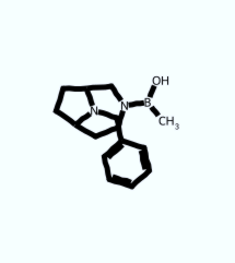 CB(O)N1CCC2CCC(C1)N2Cc1ccccc1